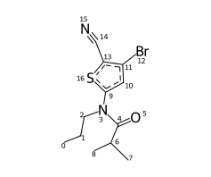 CCCN(C(=O)C(C)C)c1cc(Br)c(C#N)s1